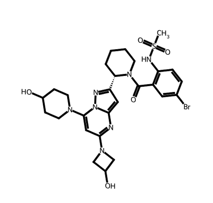 CS(=O)(=O)Nc1ccc(Br)cc1C(=O)N1CCCC[C@H]1c1cc2nc(N3CC(O)C3)cc(N3CCC(O)CC3)n2n1